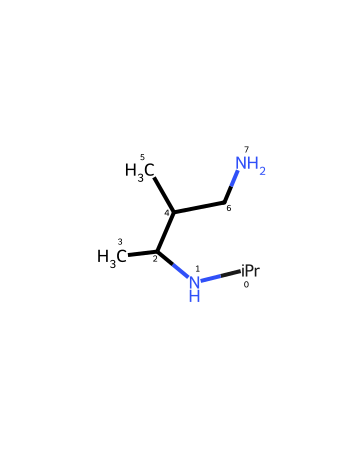 CC(C)NC(C)C(C)CN